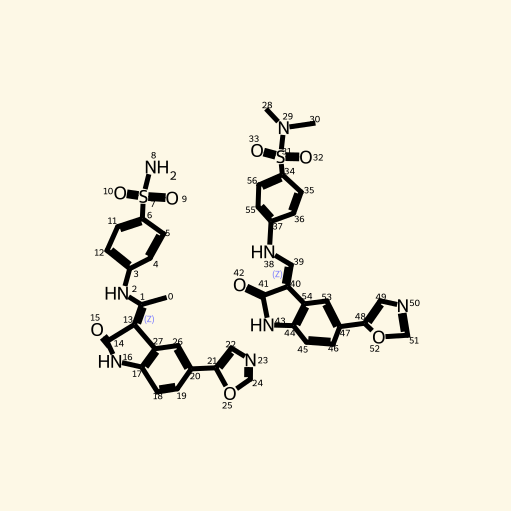 C/C(Nc1ccc(S(N)(=O)=O)cc1)=C1/C(=O)Nc2ccc(-c3cnco3)cc21.CN(C)S(=O)(=O)c1ccc(N/C=C2\C(=O)Nc3ccc(-c4cnco4)cc32)cc1